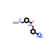 O=CNCc1cccc(C(=O)NCc2cccc(-c3nn[nH]n3)c2)c1